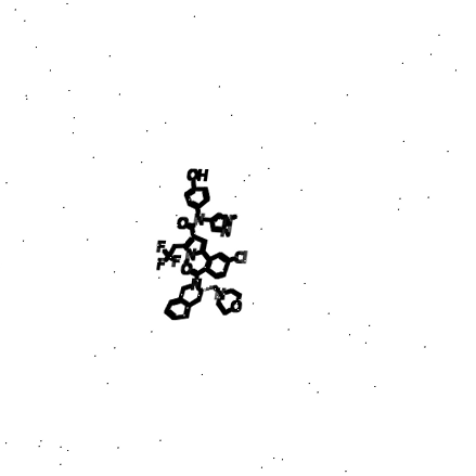 Cn1cc(N(C(=O)c2cc(-c3cc(Cl)ccc3C(=O)N3Cc4ccccc4C[C@H]3CN3CCOCC3)n(C)c2CC(F)(F)F)c2ccc(O)cc2)cn1